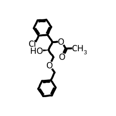 CC(=O)OC(c1ccccc1Cl)[C@H](O)COCc1ccccc1